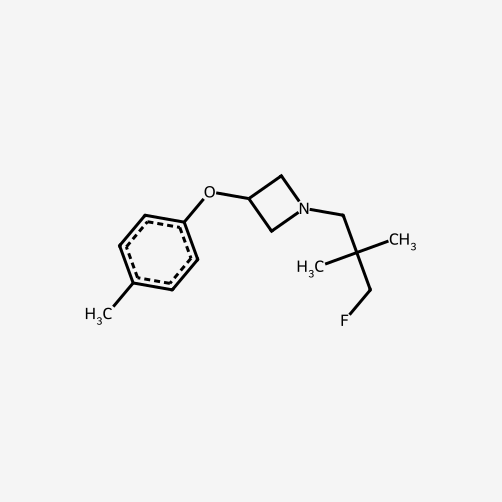 Cc1ccc(OC2CN(CC(C)(C)CF)C2)cc1